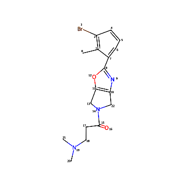 Cc1c(Br)cccc1-c1nc2c(o1)CN(C(=O)CCN(C)C)C2